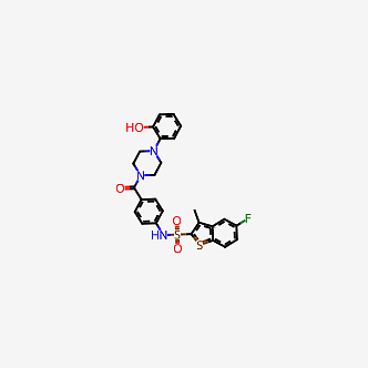 Cc1c(S(=O)(=O)Nc2ccc(C(=O)N3CCN(c4ccccc4O)CC3)cc2)sc2ccc(F)cc12